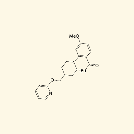 COc1ccc(C(=O)C(C)(C)C)c(N2CCC(COc3ccccn3)CC2)c1